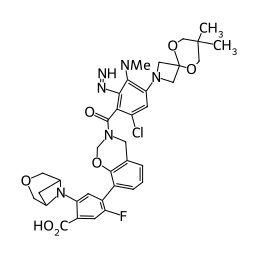 CNc1c(N2CC3(C2)OCC(C)(C)CO3)cc(Cl)c(C(=O)N2COc3c(cccc3-c3cc(N4C5COCC4C5)c(C(=O)O)cc3F)C2)c1N=N